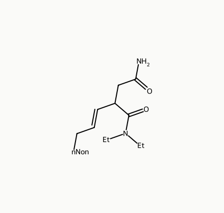 CCCCCCCCCCC=CC(CC(N)=O)C(=O)N(CC)CC